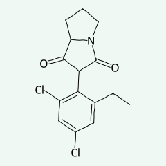 CCc1cc(Cl)cc(Cl)c1C1C(=O)C2CCCN2C1=O